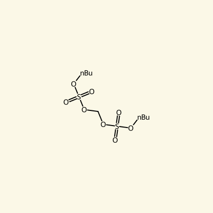 CCCCOS(=O)(=O)OCOS(=O)(=O)OCCCC